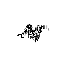 CCC(CC)COC(=O)[C@H](C)NP(=O)(Oc1ccccc1)O[C@@]1(CF)O[C@@H](c2ccc3c(N)ncnn23)[C@@H]2OC(C)(C)O[C@@H]21